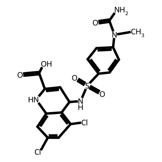 CN(C(N)=O)c1ccc(S(=O)(=O)NC2C=C(C(=O)O)Nc3cc(Cl)cc(Cl)c32)cc1